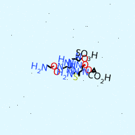 NCCOC(=O)NCc1cnn(CC2C(NC(=O)/C(=N\OC3(C(=O)O)CC3)C3=CSC(N)N3)C(=O)N2S(=O)(=O)O)n1